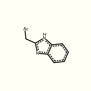 CC(=O)Cc1nc2ccccc2[nH]1